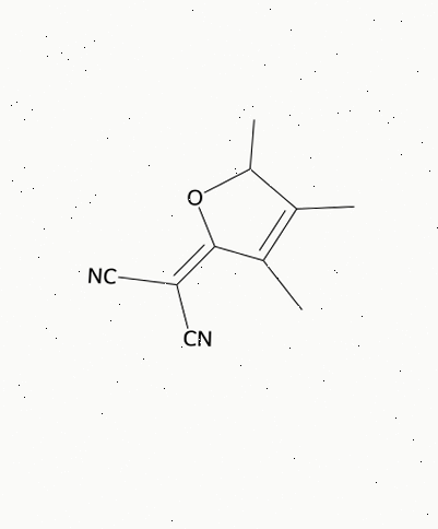 CC1=C(C)C(C)OC1=C(C#N)C#N